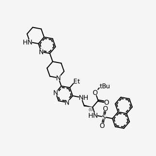 CCc1c(NC[C@H](NS(=O)(=O)c2cccc3ccccc23)C(=O)OC(C)(C)C)ncnc1N1CCC(c2ccc3c(n2)NCCC3)CC1